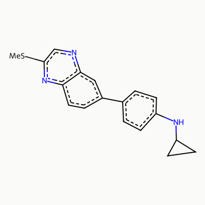 CSc1cnc2cc(-c3ccc(NC4CC4)cc3)ccc2n1